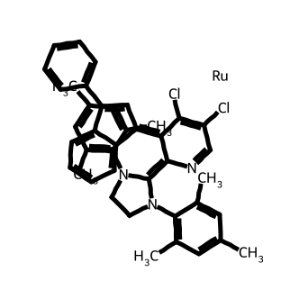 Cc1cc(C)c(N2CCN(c3c(C)cc(C)cc3C)C2=c2ncc(Cl)c(Cl)c2=C2C=C(c3ccccc3)c3ccccc32)c(C)c1.[Ru]